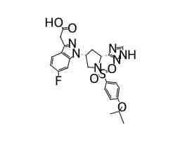 CC(C)Oc1ccc(S(=O)(=O)N2C[C@H](n3nc(CC(=O)O)c4ccc(F)cc43)C[C@@H]2c2nc[nH]n2)cc1